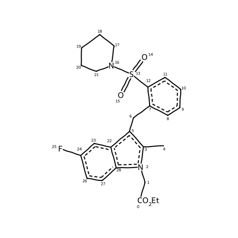 CCOC(=O)Cn1c(C)c(Cc2ccccc2S(=O)(=O)N2CCCCC2)c2cc(F)ccc21